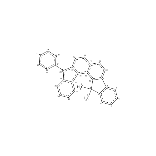 CC1(C)c2ccccc2-c2ccc3ccc4c(c5ccccc5n4-c4ncncn4)c3c21